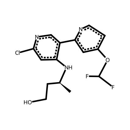 C[C@@H](CCO)Nc1cc(Cl)ncc1-c1cc(OC(F)F)ccn1